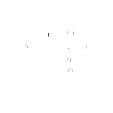 CC(C)c1cccc(C(C)C)c1N(I)S(C)(C)C